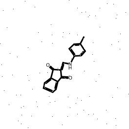 Cc1ccc(NC=C2C(=O)c3ccccc3C2=O)cc1